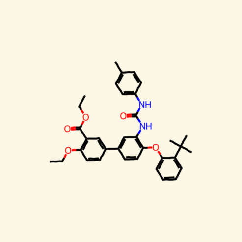 CCOC(=O)c1cc(-c2ccc(Oc3ccccc3C(C)(C)C)c(NC(=O)Nc3ccc(C)cc3)c2)ccc1OCC